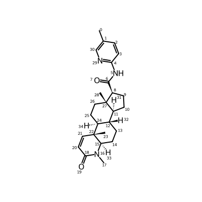 Cc1ccc(NC(=O)[C@H]2CC[C@H]3[C@@H]4CC[C@H]5N(C)C(=O)C=C[C@]5(C)[C@H]4CC[C@]23C)nc1